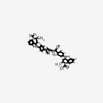 CCC(=O)N1c2ccccc2[C@H](Nc2ccc(-n3cc(CNC(=O)C4CCC(N[C@@H]5C[C@H](C)N(C(=O)CC)c6ccccc65)CC4)nn3)cc2)C[C@@H]1C